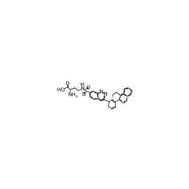 NC(CCNS(=O)(=O)c1ccc2cc(C3CC=CC4=C3CCc3c4ccc4ccccc34)nnc2c1)C(=O)O